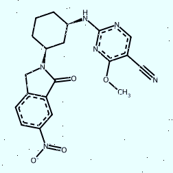 COc1nc(N[C@@H]2CCC[C@H](N3Cc4ccc([N+](=O)[O-])cc4C3=O)C2)ncc1C#N